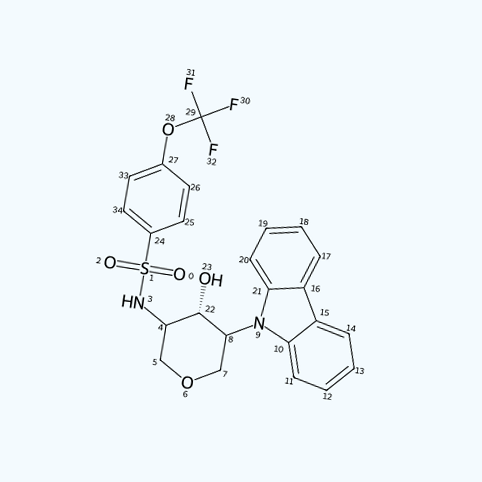 O=S(=O)(NC1COCC(n2c3ccccc3c3ccccc32)[C@H]1O)c1ccc(OC(F)(F)F)cc1